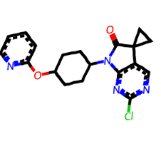 O=C1N(C2CCC(Oc3ccccn3)CC2)c2nc(Cl)ncc2C12CC2